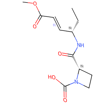 CC[C@@H](/C=C/C(=O)OC)NC(=O)[C@@H]1CCN1C(=O)O